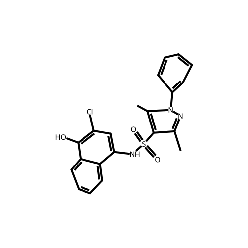 Cc1nn(-c2ccccc2)c(C)c1S(=O)(=O)Nc1cc(Cl)c(O)c2ccccc12